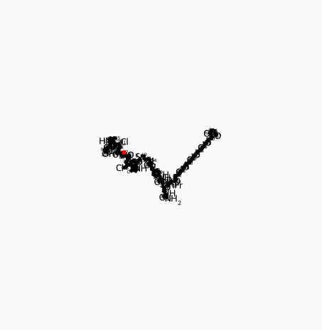 Cc1c[nH]c2c(OC(=S)N(C)CCN(C)C(=O)OCc3ccc(NC(=O)[C@H](CCCNC(N)=O)NC(=O)[C@@H](NC(=O)CCOCCOCCOCCOCCOCCOCCN4C(=O)C=CC4=O)C(C)C)cc3)cc3c(c12)C(CCl)CN3C(=O)C12CC(C(=O)N3C[C@@H](CCl)c4c3cc(OP(C)(=O)O)c3[nH]cc(C)c43)(C1)C2